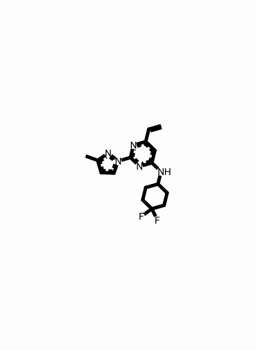 C=Cc1cc(NC2CCC(F)(F)CC2)nc(-n2ccc(C)n2)n1